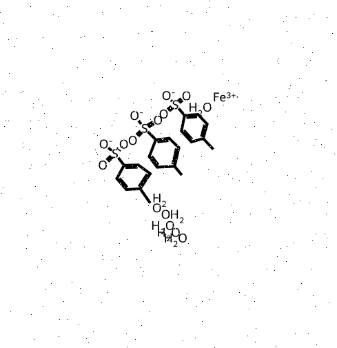 Cc1ccc(S(=O)(=O)[O-])cc1.Cc1ccc(S(=O)(=O)[O-])cc1.Cc1ccc(S(=O)(=O)[O-])cc1.O.O.O.O.O.O.[Fe+3]